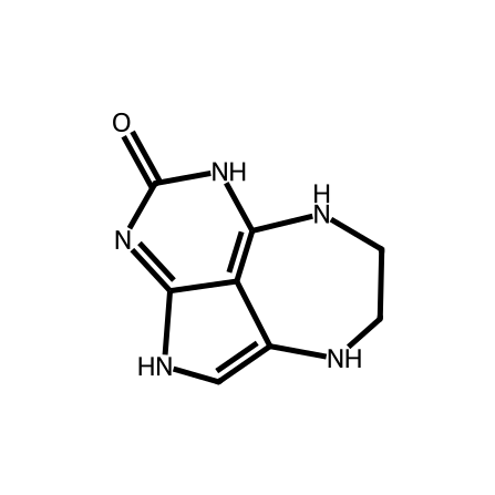 O=c1nc2[nH]cc3c2c([nH]1)NCCN3